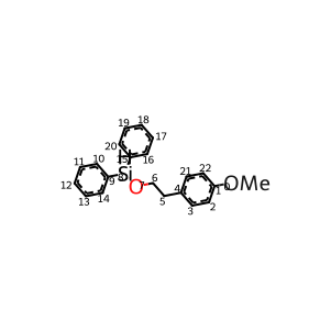 COc1ccc(CCO[SiH](c2ccccc2)c2ccccc2)cc1